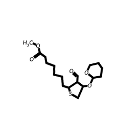 COC(=O)CCCCCCC1SCC(OC2CCCCO2)C1C=O